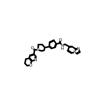 O=C(NCc1ccn2ccnc2c1)c1ccc(C2CCN(C(=O)c3cnc4c(c3)CCCO4)CC2)cc1